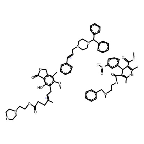 C(=C\c1ccccc1)/CN1CCN(C(c2ccccc2)c2ccccc2)CC1.COC(=O)C1=C(C)NC(C)=C(C(=O)OCCN(C)Cc2ccccc2)C1c1cccc([N+](=O)[O-])c1.COc1c(C)c2c(c(O)c1C/C=C(\C)CCC(=O)OCCN1CCOCC1)C(=O)OC2